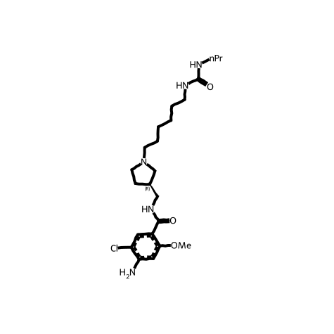 CCCNC(=O)NCCCCCCN1CC[C@H](CNC(=O)c2cc(Cl)c(N)cc2OC)C1